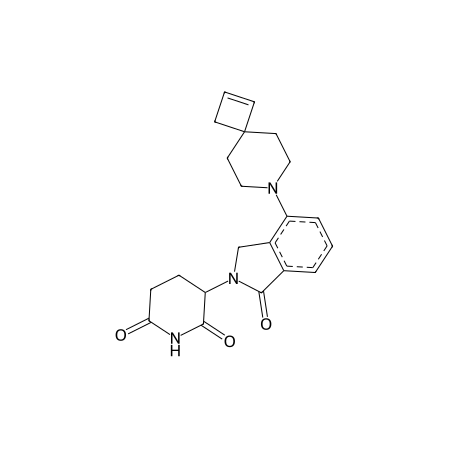 O=C1CCC(N2Cc3c(cccc3N3CCC4(C=CC4)CC3)C2=O)C(=O)N1